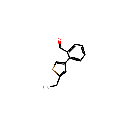 CCc1cc(-c2ccccc2C=O)cs1